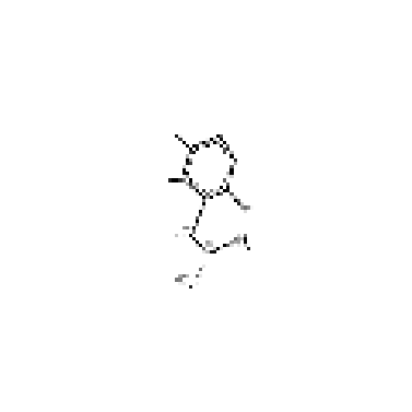 Cc1ccc(F)c([C@@H](C)[C@H](N)C(=O)O)c1C